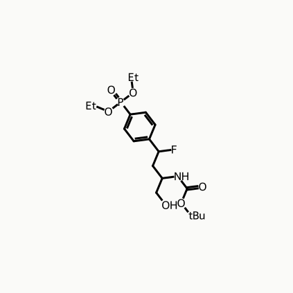 CCOP(=O)(OCC)c1ccc(C(F)CC(CO)NC(=O)OC(C)(C)C)cc1